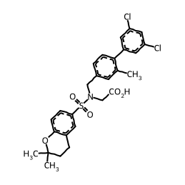 Cc1cc(CN(CC(=O)O)S(=O)(=O)c2ccc3c(c2)CCC(C)(C)O3)ccc1-c1cc(Cl)cc(Cl)c1